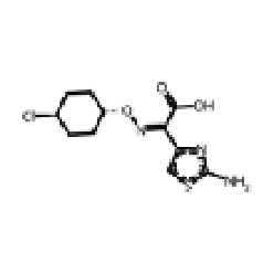 Nc1nc(/C(=N/O[C@H]2CC[C@H](Cl)CC2)C(=O)O)cs1